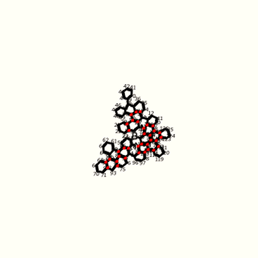 c1ccc(-c2cccc(-c3cccc(-c4cccc(-c5ccccc5)c4)c3N3c4cc(-c5c6ccccc6c(-c6ccccc6)c6ccccc56)ccc4B4c5ccc(-c6c7ccccc7c(-c7ccccc7)c7ccccc67)cc5N(c5c(-c6cccc(-c7ccccc7)c6)cccc5-c5cccc(-c6ccccc6)c5)c5cc(C(c6ccccc6)c6ccccc6)cc3c54)c2)cc1